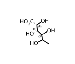 CC(O)[C@H](O)[C@H](O)[C@@H](O)C(=O)O